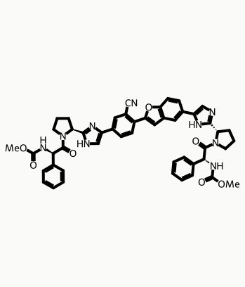 COC(=O)N[C@@H](C(=O)N1CCC[C@H]1c1nc(-c2ccc(-c3cc4cc(-c5cnc([C@@H]6CCCN6C(=O)[C@H](NC(=O)OC)c6ccccc6)[nH]5)ccc4o3)c(C#N)c2)c[nH]1)c1ccccc1